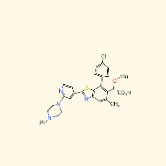 Cc1cc2nc(-c3ccnc(N4CCN(C(C)C)CC4)c3)sc2c(-c2ccc(Cl)cc2)c1[C@H](OC(C)(C)C)C(=O)O